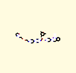 Cc1cc(C[C@@H](OC(=O)N2CCC(N3CCc4ccccc4NC3=O)CC2)C(=O)N2CCN(C3CCN(CCC(=O)OCCCN4CCCC4=O)CC3)CC2)cc(C)c1O